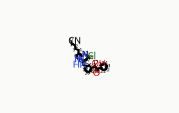 N#CCCCCc1cnn2c(Nc3cccc(C(O)C(=O)c4ccccc4)c3)cc(Cl)nc12